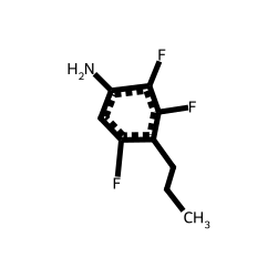 CCCc1c(F)cc(N)c(F)c1F